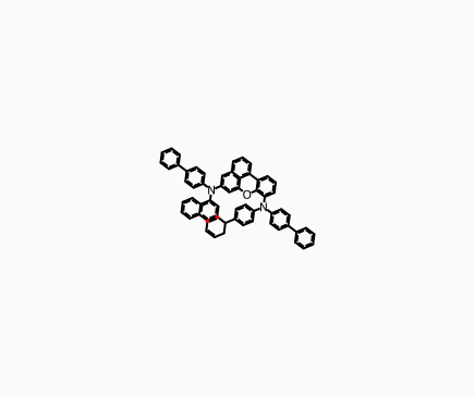 C1=CCC(c2ccc(N(c3ccc(-c4ccccc4)cc3)c3cccc4c3Oc3cc(N(c5ccc(-c6ccccc6)cc5)c5cccc6ccccc56)cc5cccc-4c35)cc2)C=C1